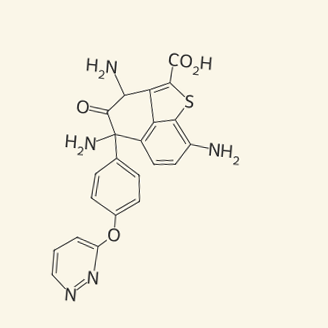 Nc1ccc2c3c(c(C(=O)O)sc13)C(N)C(=O)C2(N)c1ccc(Oc2cccnn2)cc1